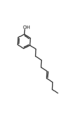 CCCC=CCCCCc1cccc(O)c1